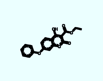 CCOC(=O)c1c(O)c2ccc(Oc3ccccc3)cc2oc1=O